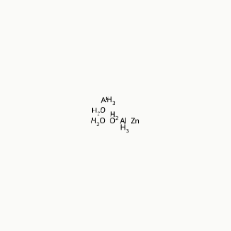 O.O.O.[AlH3].[AlH3].[Zn]